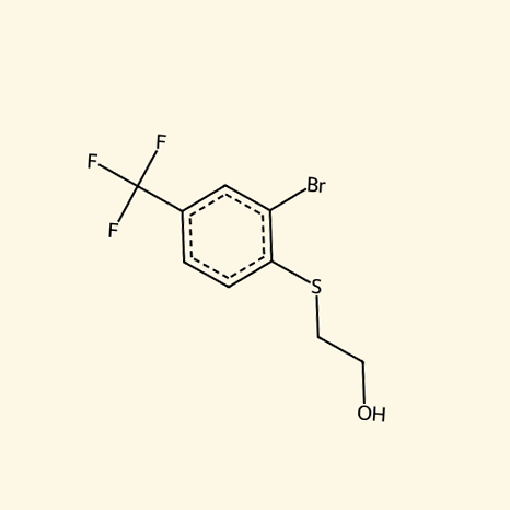 OCCSc1ccc(C(F)(F)F)cc1Br